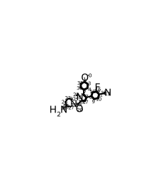 COc1ccc(-c2c(-c3ccc(C#N)c(F)c3)cc(C(=O)N3CCC[C@@H](N)C3)n2C)cc1